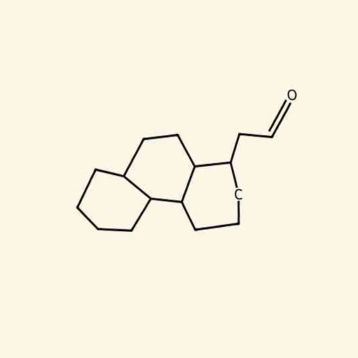 O=CCC1CCCC2C1CCC1CCCCC12